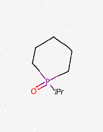 CC(C)P1(=O)CCCCC1